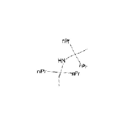 CCCC(C)(CCC)NC(C)(CCC)CCC